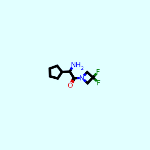 NC(C(=O)N1CC(F)(F)C1)C1CCCC1